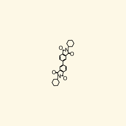 O=C1c2ccc(-c3ccc4c(c3)C(=O)N(C3CCCCC3)C4=O)cc2C(=O)N1C1CCCCC1